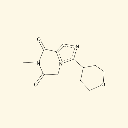 CN1C(=O)Cn2c(cnc2C2CCOCC2)C1=O